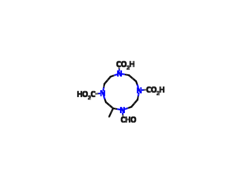 CC1CN(C(=O)O)CCN(C(=O)O)CCN(C(=O)O)CCN1C=O